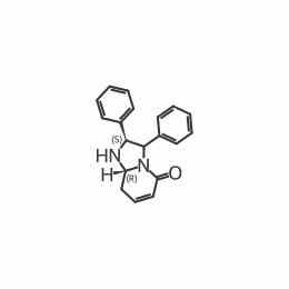 O=C1C=CC[C@@H]2N[C@@H](c3ccccc3)C(c3ccccc3)N12